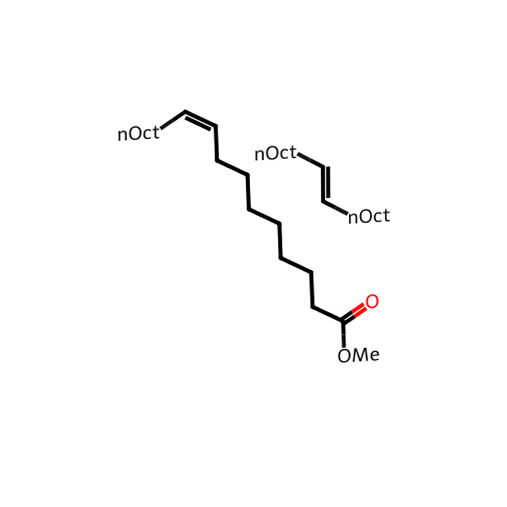 CCCCCCCC/C=C/CCCCCCCC.CCCCCCCC/C=C\CCCCCCCC(=O)OC